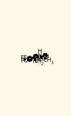 Cn1nccc1C(=O)Nc1ccc(-c2ccc(OC(F)(F)F)cc2)c(N)n1